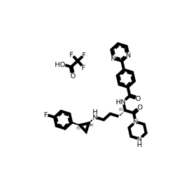 O=C(N[C@@H](CCCN[C@@H]1C[C@H]1c1ccc(F)cc1)C(=O)N1CCNCC1)c1ccc(-c2ncccn2)cc1.O=C(O)C(F)(F)F